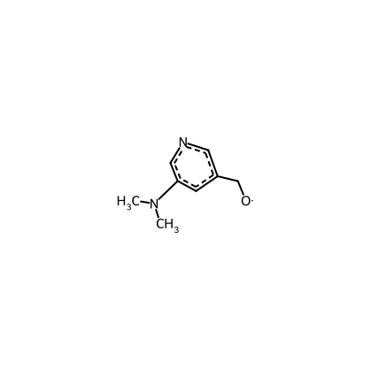 CN(C)c1cncc(C[O])c1